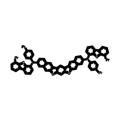 CC(C)c1ccc(N(c2ccc3cc4c(cc3c2)oc2cc3oc5cc6cc(N(c7ccc(C(C)C)cc7)c7cccc8c7oc7c(C(C)C)cccc78)ccc6cc5c3cc24)c2cccc3c2oc2c(C(C)C)cccc23)cc1